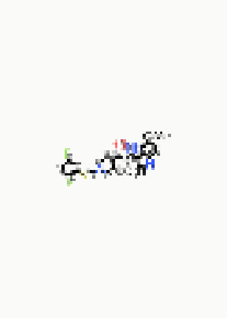 COc1ccc2nccc([C@H](CC[C@@H]3CCN(CCSc4cc(F)ccc4F)C[C@@H]3C(=O)O)NO)c2c1